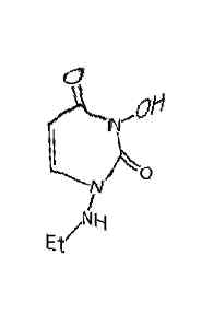 CCNn1ccc(=O)n(O)c1=O